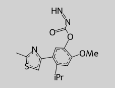 COc1cc(C(C)C)c(-c2csc(C)n2)cc1OC(=O)N=N